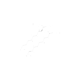 CCCCCCCCCCCCCCCCCCC(CCCCC)C(=O)O.CCCCCCCCCCCCCCCCCCC(CCCCCC)C(=O)O